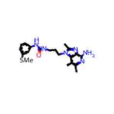 CSc1cccc(NC(=O)NCCCn2c(C)nc3c(N)nc(C)c(C)c32)c1